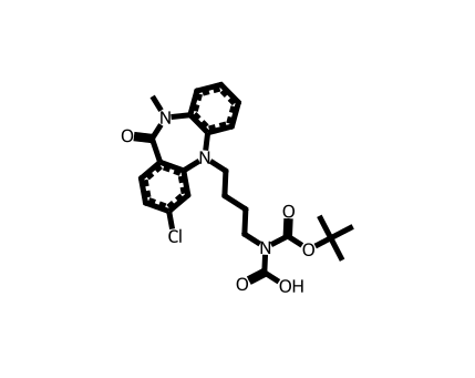 CN1C(=O)c2ccc(Cl)cc2N(CCCCN(C(=O)O)C(=O)OC(C)(C)C)c2ccccc21